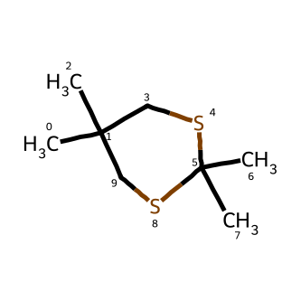 CC1(C)CSC(C)(C)SC1